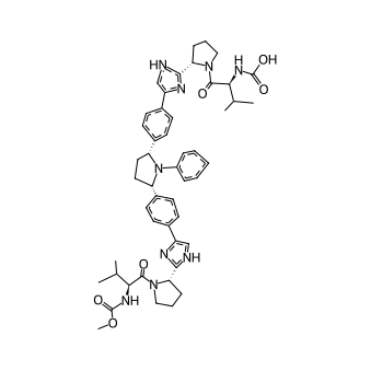 COC(=O)N[C@H](C(=O)N1CCC[C@H]1c1nc(-c2ccc([C@@H]3CC[C@H](c4ccc(-c5c[nH]c([C@@H]6CCCN6C(=O)[C@@H](NC(=O)O)C(C)C)n5)cc4)N3c3ccccc3)cc2)c[nH]1)C(C)C